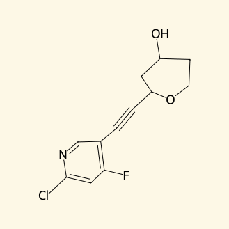 OC1CCOC(C#Cc2cnc(Cl)cc2F)C1